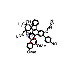 COc1ccc(/C=C\c2c3c(c4cc(OCN=[N+]=[N-])c(-c5ccc(N=O)cc5)cc4c2OCc2ccc(OC)cc2)-c2ccccc2C32CC(C)(C)CC(C)(CN=[N+]=[N-])C2)cc1